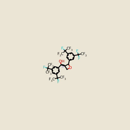 O/C(=C1/COC1c1cc(C(F)(F)C(F)(F)F)cc(C(F)(C(F)(F)F)C(F)(F)F)c1)c1cc(C(F)(C(F)(F)F)C(F)(F)F)cc(C(F)(C(F)(F)F)C(F)(F)F)c1